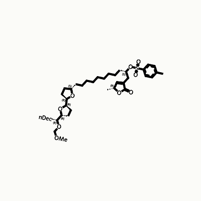 CCCCCCCCCC[C@@H](OCOC)[C@H]1CC[C@H]([C@H]2CC[C@H](CCCCCCCCC[C@@H](CC3=C[C@@H](C)OC3=O)OS(=O)(=O)c3ccc(C)cc3)O2)O1